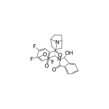 COC(=O)[C@H](C1CC2CCC(C1)N2C(=O)c1cc(F)c(F)cc1F)N1C(=O)c2ccccc2C1O